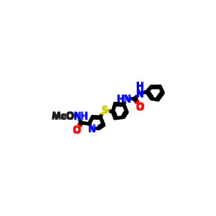 CONC(=O)c1cc(Sc2cccc(NC(=O)Nc3ccccc3)c2)ccn1